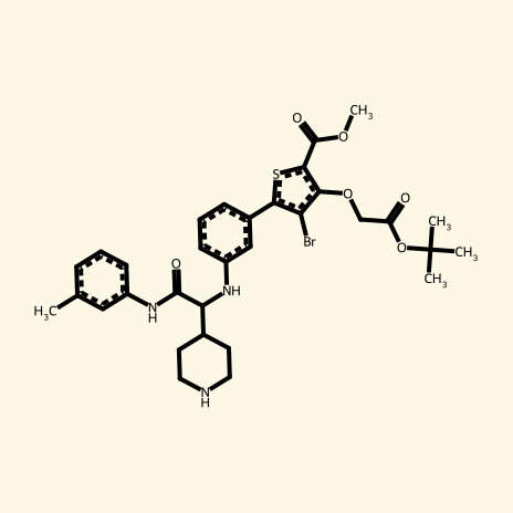 COC(=O)c1sc(-c2cccc(NC(C(=O)Nc3cccc(C)c3)C3CCNCC3)c2)c(Br)c1OCC(=O)OC(C)(C)C